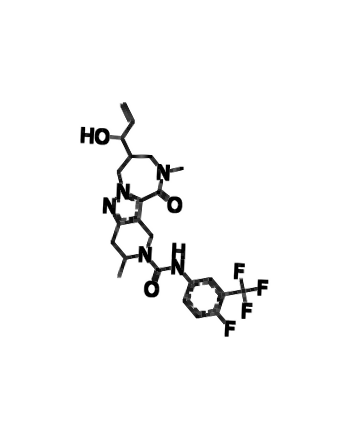 C=CC(O)C1CN(C)C(=O)c2c3c(nn2C1)CC(C)N(C(=O)Nc1ccc(F)c(C(F)(F)F)c1)C3